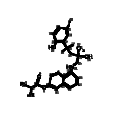 CCN(CC)C(=O)Oc1ccc2c(NCC(O)(CC(C)(C)c3cc(F)ccc3O)C(F)(F)F)cccc2n1